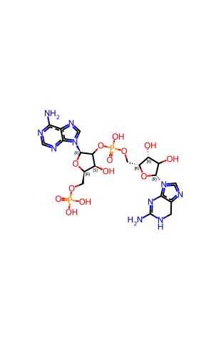 NC1=Nc2c(ncn2[C@@H]2O[C@H](COP(=O)(O)OC3[C@@H](O)[C@@H](COP(=O)(O)O)O[C@H]3n3cnc4c(N)ncnc43)[C@H](O)C2O)CN1